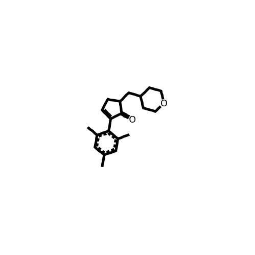 Cc1cc(C)c(C2=CCC(CC3CCOCC3)C2=O)c(C)c1